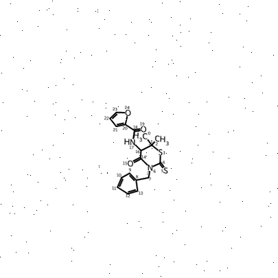 CC1(C)SC(=S)N(Cc2ccccc2)C(=O)C1NC(=O)c1ccco1